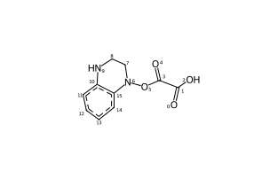 O=C(O)C(=O)ON1CCNc2ccccc21